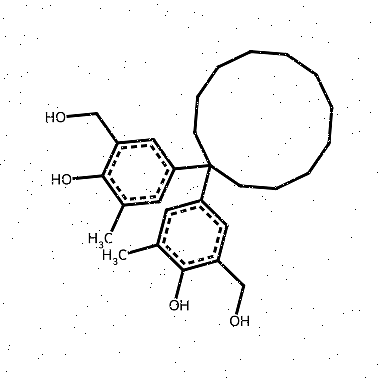 Cc1cc(C2(c3cc(C)c(O)c(CO)c3)CCCCCCCCCCC2)cc(CO)c1O